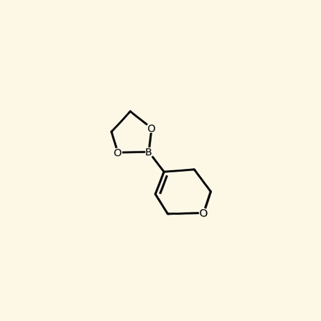 C1=C(B2OCCO2)CCOC1